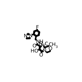 CC1(C)OCCn2c1nc(C(=O)NCc1ccc(F)cc1-n1ccnc1)c(O)c2=O